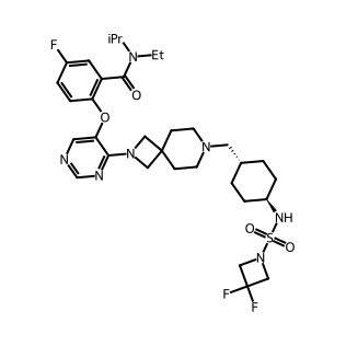 CCN(C(=O)c1cc(F)ccc1Oc1cncnc1N1CC2(CCN(C[C@H]3CC[C@H](NS(=O)(=O)N4CC(F)(F)C4)CC3)CC2)C1)C(C)C